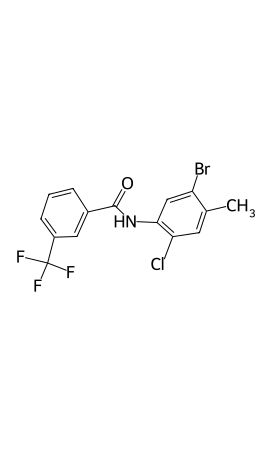 Cc1cc(Cl)c(NC(=O)c2cccc(C(F)(F)F)c2)cc1Br